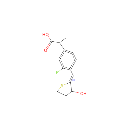 CC(C(=O)O)c1ccc(/C=C2\SCCC2O)c(F)c1